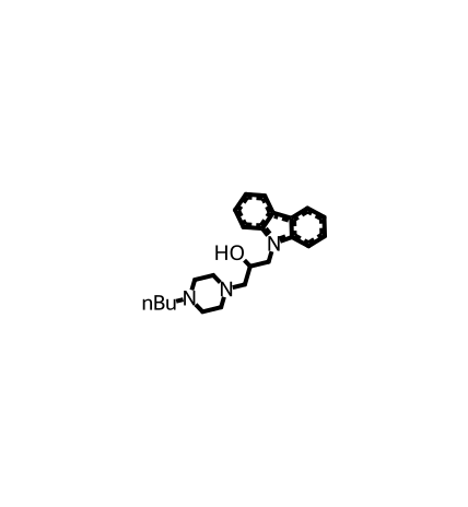 CCCCN1CCN(CC(O)Cn2c3ccccc3c3ccccc32)CC1